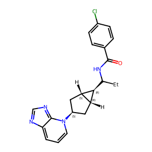 CCC(NC(=O)c1ccc(Cl)cc1)[C@H]1[C@@H]2C[C@@H](n3cccc4ncnc3-4)C[C@@H]21